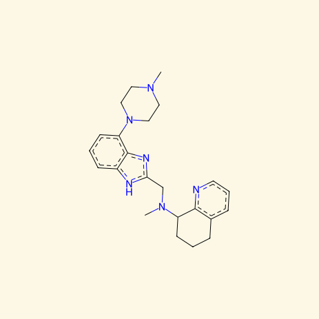 CN1CCN(c2cccc3[nH]c(CN(C)C4CCCc5cccnc54)nc23)CC1